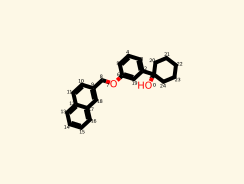 OC1(c2cccc(OCc3ccc4ccccc4c3)c2)CCCCC1